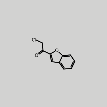 O=C(CCl)c1cc2ccccc2o1